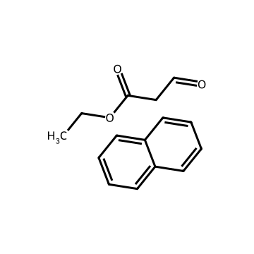 CCOC(=O)CC=O.c1ccc2ccccc2c1